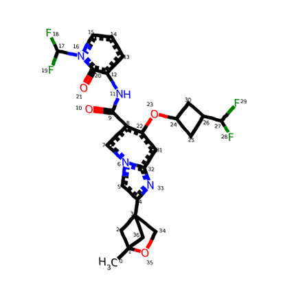 CC12CC(c3cn4cc(C(=O)Nc5cccn(C(F)F)c5=O)c(OC5CC(C(F)F)C5)cc4n3)(CO1)C2